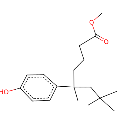 COC(=O)CCCC(C)(CC(C)(C)C)c1ccc(O)cc1